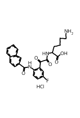 Cl.NCCCCC(NC(=O)C(=O)c1cc(F)ccc1NC(=O)c1ccc2ccccc2c1)C(=O)O